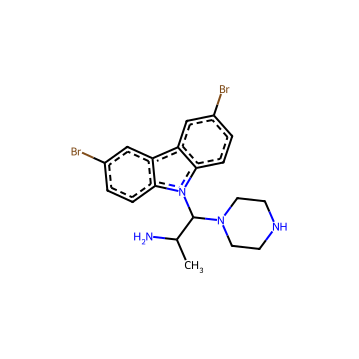 CC(N)C(N1CCNCC1)n1c2ccc(Br)cc2c2cc(Br)ccc21